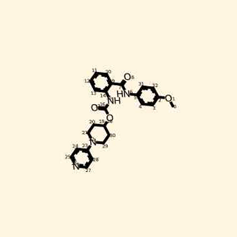 COc1ccc(NC(=O)c2ccccc2NC(=O)OC2CCN(c3ccncc3)CC2)cc1